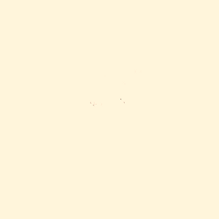 O=C(NC(CO)c1ccccc1)c1ccccc1[N+](=O)[O-]